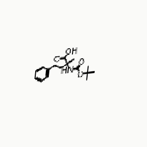 CC(C)(C)OC(=O)NC(C)(CCc1ccccc1)C(=O)O